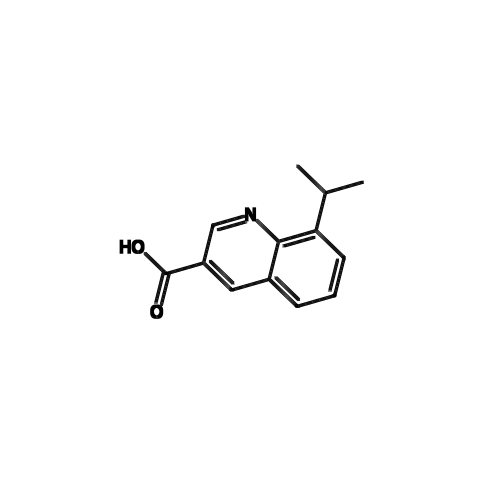 CC(C)c1cccc2cc(C(=O)O)cnc12